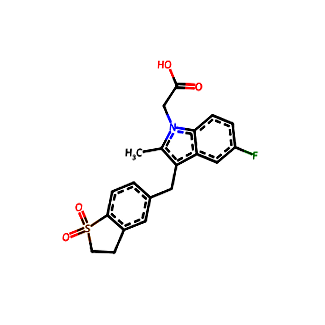 Cc1c(Cc2ccc3c(c2)CCS3(=O)=O)c2cc(F)ccc2n1CC(=O)O